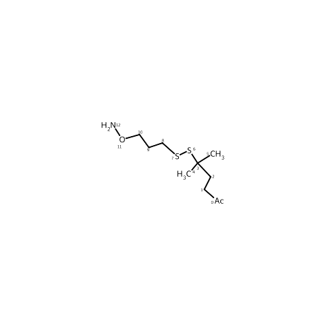 CC(=O)CCC(C)(C)SSCCCON